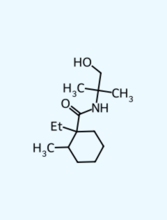 CCC1(C(=O)NC(C)(C)CO)CCCCC1C